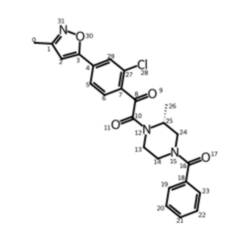 Cc1cc(-c2ccc(C(=O)C(=O)N3CCN(C(=O)c4ccccc4)C[C@H]3C)c(Cl)c2)on1